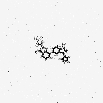 C=CC(=O)N1Cc2c(cccc2-c2ccc3[nH]nc(-c4ccsc4)c3c2)C1=O